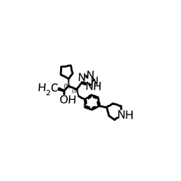 C=C(O)[C@@H](C1CCCC1)[C@H](Cc1ccc(C2CCNCC2)cc1)c1nnn[nH]1